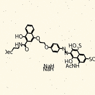 CCCCCCCCCCCCNC(=O)c1cc(OCCOc2ccc(/N=N/c3c(S(=O)(=O)O)cc4cc(S(=O)(=O)O)cc(NC(C)=O)c4c3O)cc2)c2ccccc2c1O.[NaH].[NaH]